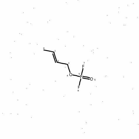 CC=CCOP(=O)(F)F